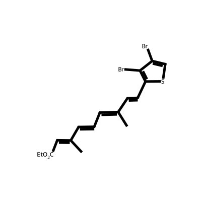 CCOC(=O)/C=C(C)/C=C/C=C(C)/C=C/c1scc(Br)c1Br